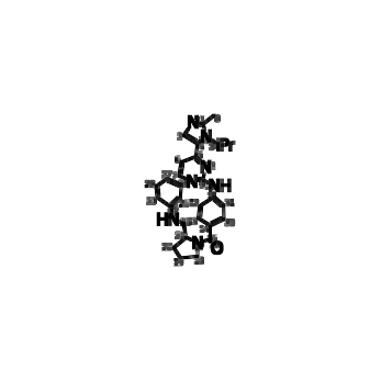 Cc1ncc(-c2ccnc(Nc3ccc(C(=O)N4CCC[C@H]4CNc4ccccc4)cc3)n2)n1C(C)C